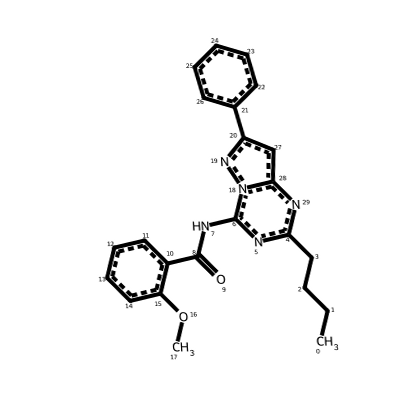 CCCCc1nc(NC(=O)c2ccccc2OC)n2nc(-c3ccccc3)cc2n1